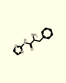 NC(Cc1ccccc1)C(=O)Nc1ncco1